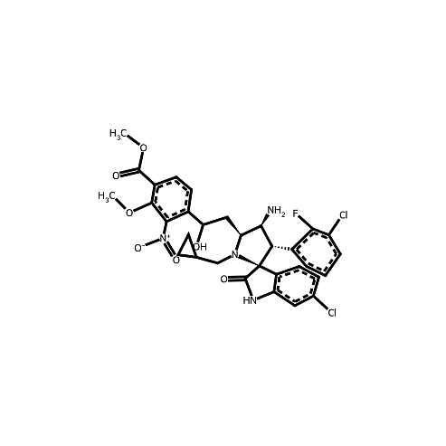 COC(=O)c1ccc(C(O)C[C@H]2[C@@H](N)[C@H](c3cccc(Cl)c3F)[C@]3(C(=O)Nc4cc(Cl)ccc43)N2CC2CC2)c([N+](=O)[O-])c1OC